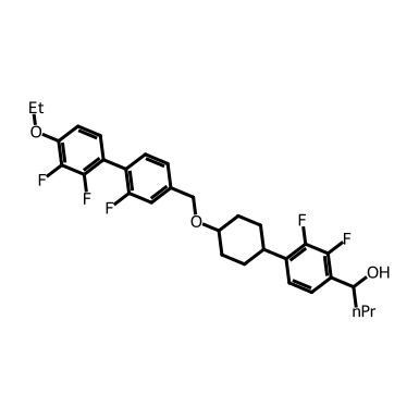 CCCC(O)c1ccc(C2CCC(OCc3ccc(-c4ccc(OCC)c(F)c4F)c(F)c3)CC2)c(F)c1F